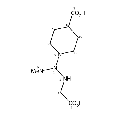 CNN(NCC(=O)O)N1CCC(C(=O)O)CC1